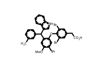 COc1cc(C(c2cccc(C)c2)c2c[nH]c3ccccc23)c(Oc2c(Br)cc(CC(=O)O)cc2Br)cc1C(C)C